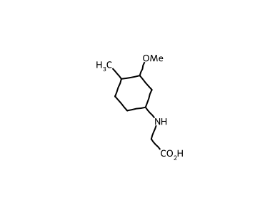 COC1CC(NCC(=O)O)CCC1C